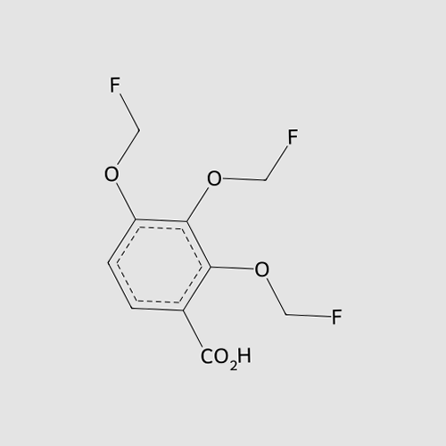 O=C(O)c1ccc(OCF)c(OCF)c1OCF